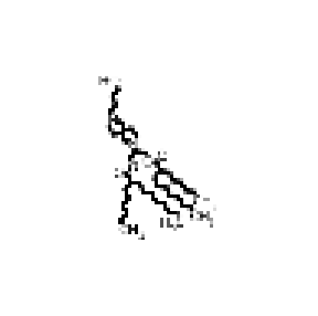 CCCCCCCCC(CCCCCC)C(=O)OCC(COC(=O)C(CCCCCC)CCCCCCCC)N1CCC2(CCN(CCCCO)C2)C1